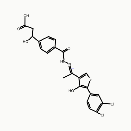 C/C(=N\NC(=O)c1ccc(C(O)CC(=O)O)cc1)c1csc(-c2ccc(Cl)c(Cl)c2)c1O